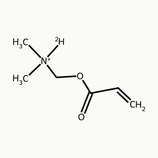 [2H][N+](C)(C)COC(=O)C=C